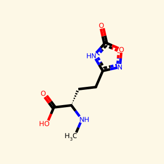 CN[C@@H](CCc1noc(=O)[nH]1)C(=O)O